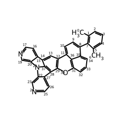 Cc1cccc(C)c1-c1ccc2c3cc4c5ccncc5n5c6cnccc6c(c3oc3cccc1c32)c45